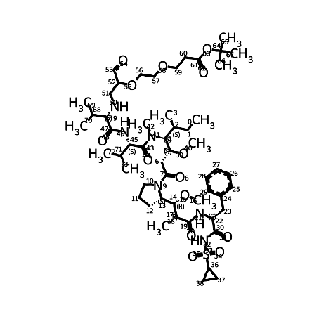 CC[C@H](C)[C@@H]([C@@H](CC(=O)N1CCC[C@H]1[C@H](OC)[C@@H](C)C(=O)N[C@@H](Cc1ccccc1)C(=O)NS(=O)(=O)C1CC1)OC)N(C)C(=O)[C@@H](NC(=O)[C@@H](NCC(C=O)OCCOCCC(=O)OC(C)(C)C)C(C)C)C(C)C